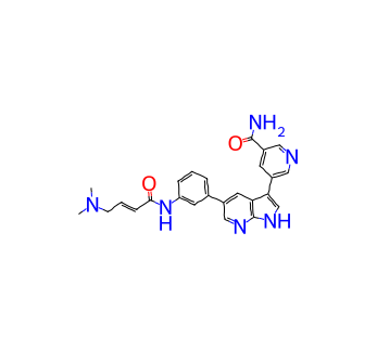 CN(C)CC=CC(=O)Nc1cccc(-c2cnc3[nH]cc(-c4cncc(C(N)=O)c4)c3c2)c1